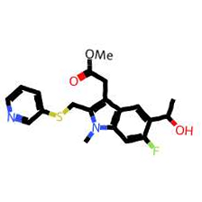 COC(=O)Cc1c(CSc2cccnc2)n(C)c2cc(F)c(C(C)O)cc12